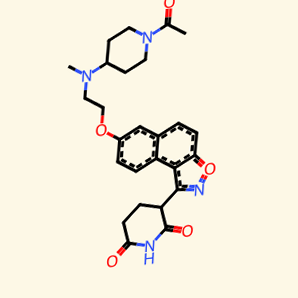 CC(=O)N1CCC(N(C)CCOc2ccc3c(ccc4onc(C5CCC(=O)NC5=O)c43)c2)CC1